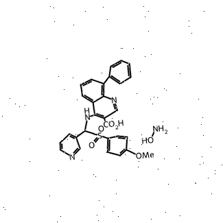 COc1ccc(S(=O)(=O)C(Nc2c(C(=O)O)cnc3c(-c4ccccc4)cccc23)c2cccnc2)cc1.NO